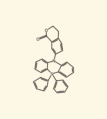 O=C1OCCc2ccc(N3c4ccccc4[Si](c4ccccc4)(c4ccccc4)c4ccccc43)cc21